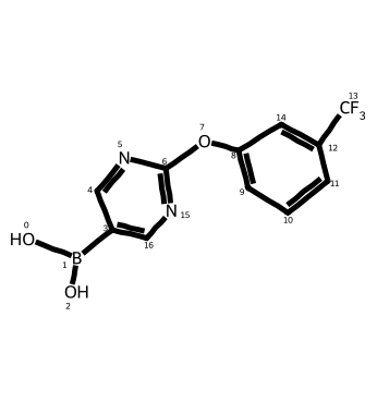 OB(O)c1cnc(Oc2cccc(C(F)(F)F)c2)nc1